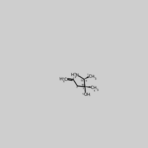 C=CC[C@@](C)(O)[C@H](C)N